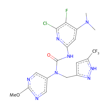 COc1ncc(N(Cc2cc(C(F)(F)F)[nH]n2)C(=O)Nc2cc(N(C)C)c(F)c(Cl)n2)cn1